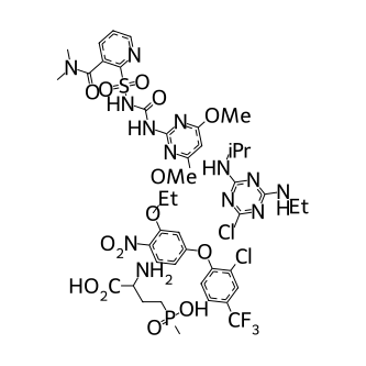 CCNc1nc(Cl)nc(NC(C)C)n1.CCOc1cc(Oc2ccc(C(F)(F)F)cc2Cl)ccc1[N+](=O)[O-].COc1cc(OC)nc(NC(=O)NS(=O)(=O)c2ncccc2C(=O)N(C)C)n1.CP(=O)(O)CCC(N)C(=O)O